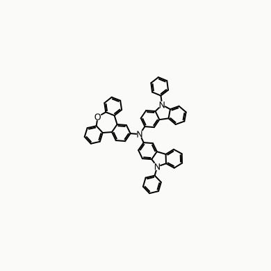 c1ccc(-n2c3ccccc3c3cc(N(c4ccc5c(c4)-c4ccccc4Oc4ccccc4-5)c4ccc5c(c4)c4ccccc4n5-c4ccccc4)ccc32)cc1